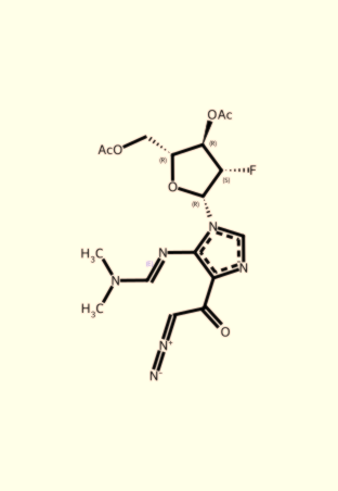 CC(=O)OC[C@H]1O[C@@H](n2cnc(C(=O)C=[N+]=[N-])c2/N=C/N(C)C)[C@@H](F)[C@@H]1OC(C)=O